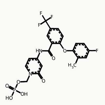 Cc1cc(F)ccc1Oc1ccc(C(F)(F)F)cc1C(=O)Nc1ccn(COP(=O)(O)O)c(=O)c1